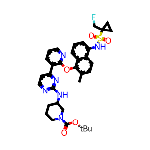 Cc1ccc2c(NS(=O)(=O)C3(CF)CC3)cccc2c1Oc1ncccc1-c1ccnc(NC2CCCN(C(=O)OC(C)(C)C)C2)n1